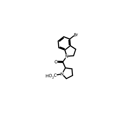 O=C(C1CCCN1C(=O)O)N1CCc2c(Br)cccc21